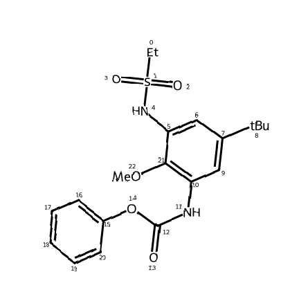 CCS(=O)(=O)Nc1cc(C(C)(C)C)cc(NC(=O)Oc2ccccc2)c1OC